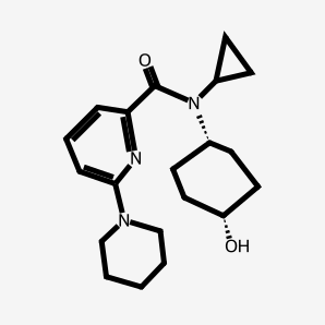 O=C(c1cccc(N2CCCCC2)n1)N(C1CC1)[C@H]1CC[C@@H](O)CC1